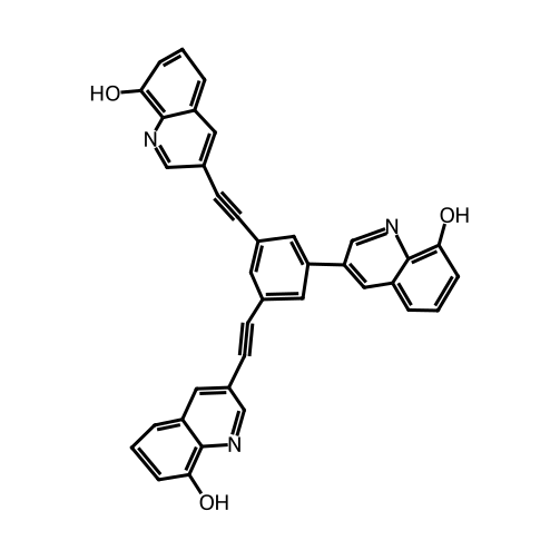 Oc1cccc2cc(C#Cc3cc(C#Cc4cnc5c(O)cccc5c4)cc(-c4cnc5c(O)cccc5c4)c3)cnc12